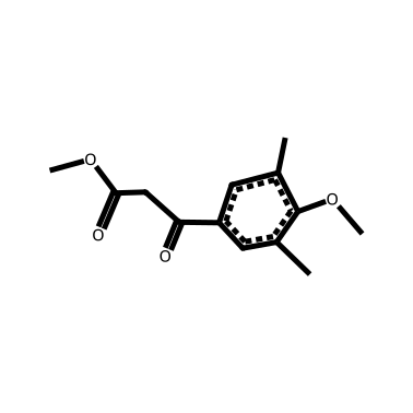 COC(=O)CC(=O)c1cc(C)c(OC)c(C)c1